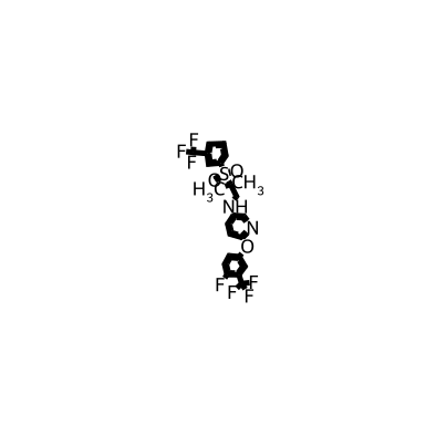 CC(C)(CNc1ccc(Oc2ccc(F)c(C(F)(F)F)c2)nc1)S(=O)(=O)c1cccc(C(F)(F)F)c1